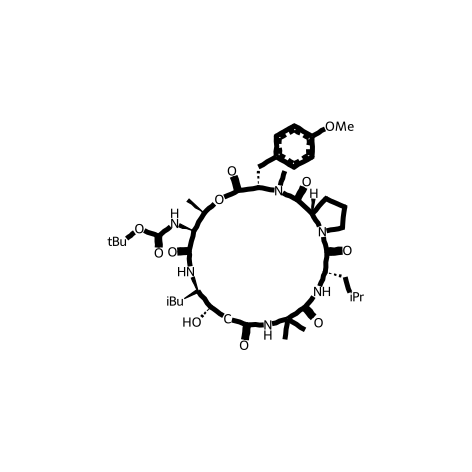 CC[C@H](C)[C@H]1NC(=O)[C@@H](NC(=O)OC(C)(C)C)[C@@H](C)OC(=O)[C@H](Cc2ccc(OC)cc2)N(C)C(=O)[C@@H]2CCCN2C(=O)[C@H](CC(C)C)NC(=O)C(C)(C)NC(=O)C[C@@H]1O